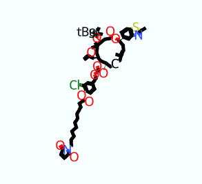 C=CC[C@H]1C(=O)C(C)(C)[C@@H](O[Si](C)(C)C(C)(C)C)CC(=O)O[C@H](c2ccc3sc(C)nc3c2)C/C=C(\C)CCC[C@H](C)[C@@H]1OC(=O)OCc1ccc(OC(=O)CCCCCCCCCCN2C(=O)C=CC2=O)c(Cl)c1